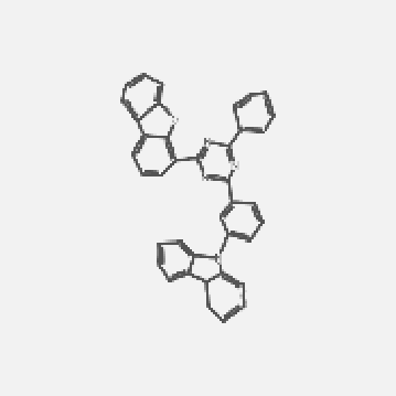 C1=CCC2C(=C1)N(c1cccc(-c3nc(-c4ccccc4)nc(-c4cccc5c4oc4ccccc45)n3)c1)c1ccccc12